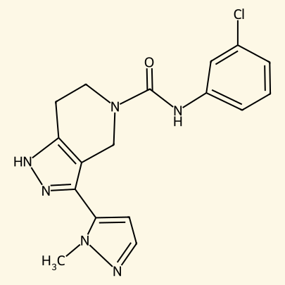 Cn1nccc1-c1n[nH]c2c1CN(C(=O)Nc1cccc(Cl)c1)CC2